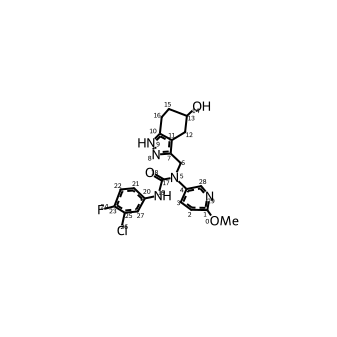 COc1ccc(N(Cc2n[nH]c3c2CC(O)CC3)C(=O)Nc2ccc(F)c(Cl)c2)cn1